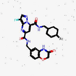 CC(=O)C1CCC(CNC(=O)c2cc(C(=O)NCc3ccc4c(c3)NC(=O)CO4)nc3c(F)cnn23)CC1